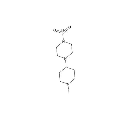 CN1CCC(N2CCN([SH](=O)=O)CC2)CC1